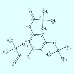 C[Si](C)(C)Oc1cc(OC(=O)[Si](C)(C)C)nc(OC(=O)[Si](C)(C)C)c1